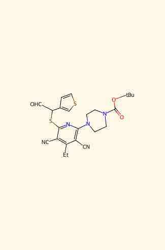 CCc1c(C#N)c(SC(C=O)c2ccsc2)nc(N2CCN(C(=O)OC(C)(C)C)CC2)c1C#N